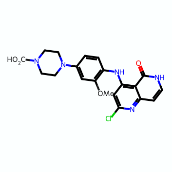 COc1cc(N2CCN(C(=O)O)CC2)ccc1Nc1cc(Cl)nc2cc[nH]c(=O)c12